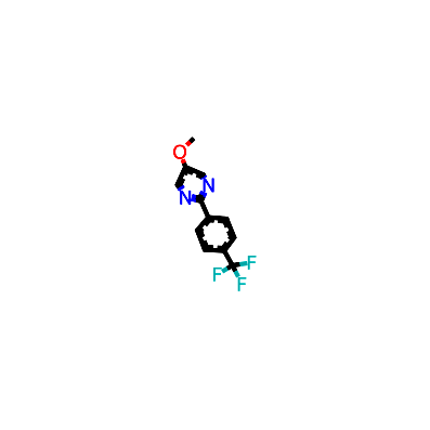 COc1cnc(-c2ccc(C(F)(F)F)cc2)nc1